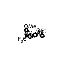 CCn1c(=O)n(-c2ccc(N3CCc4c(C(F)(F)F)nn(-c5ccc(OC)cc5)c4C3=O)cc2)c2ccccc21